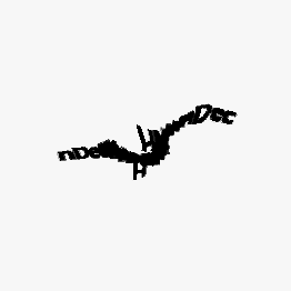 CCCCCCCCCCCCCCCCCCNc1ccc(Cc2ccc(NCCCCCCCCCCCCCCCCCC)cc2)cc1